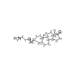 C[C@]12CC/C(=N\OCCN)CC1CCC1C2CC[C@]2(C)C(=O)CCC12